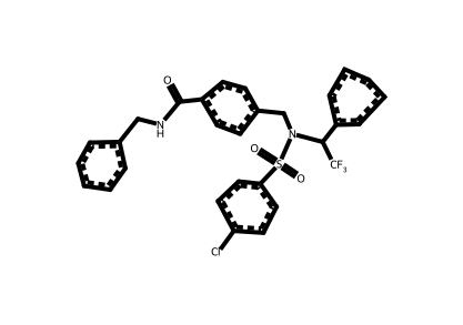 O=C(NCc1ccccc1)c1ccc(CN(C(c2ccccc2)C(F)(F)F)S(=O)(=O)c2ccc(Cl)cc2)cc1